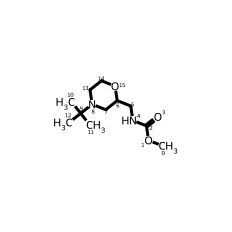 COC(=O)NCC1CN(C(C)(C)C)CCO1